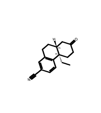 CC[C@@]12CCC(=O)C[C@H]1CCc1cc(C#N)ccc12